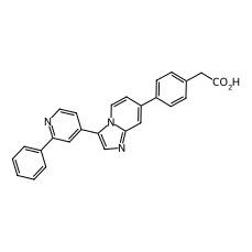 O=C(O)Cc1ccc(-c2ccn3c(-c4ccnc(-c5ccccc5)c4)cnc3c2)cc1